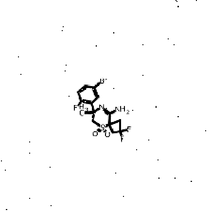 CC1(c2cc(Br)ccc2F)CS(=O)(=O)C2(CC(F)(F)C2)C(N)=N1